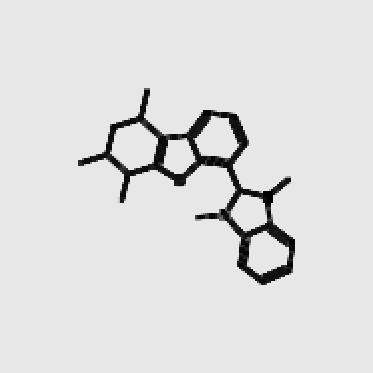 CC1CC(C)C(C)c2oc3c(C4N(C)c5ccccc5N4C)cccc3c21